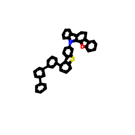 c1ccc(-c2cccc(-c3cccc(-c4cccc5sc6cc(-n7c8ccccc8c8ccc9c%10ccccc%10oc9c87)ccc6c45)c3)c2)cc1